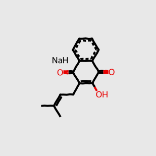 CC(C)=CCC1=C(O)C(=O)c2ccccc2C1=O.[NaH]